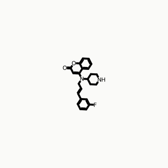 O=c1cc(N(CC=Cc2cccc(F)c2)C2CCNCC2)c2ccccc2o1